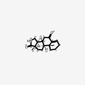 C[C@]12CCCC=C1C(=O)C[C@@H]1[C@@H]2CC[C@]2(C)C(=O)NC[C@@H]12